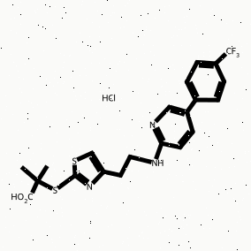 CC(C)(Sc1nc(CCNc2ccc(-c3ccc(C(F)(F)F)cc3)cn2)cs1)C(=O)O.Cl